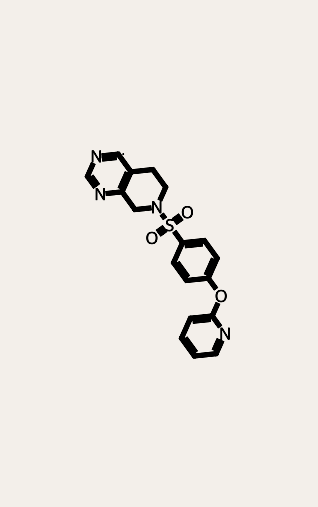 O=S(=O)(c1ccc(Oc2ccccn2)cc1)N1CCc2[c]ncnc2C1